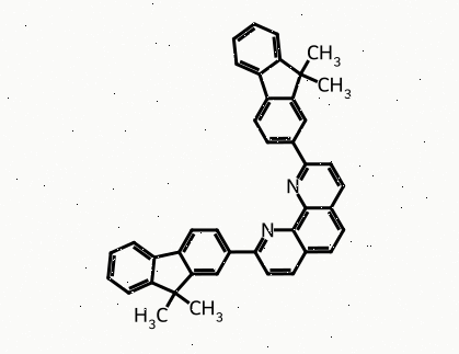 CC1(C)c2ccccc2-c2ccc(-c3ccc4ccc5ccc(-c6ccc7c(c6)C(C)(C)c6ccccc6-7)nc5c4n3)cc21